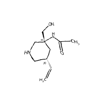 C=C[C@@H]1CNC[C@](CO)(NC(C)=O)C1